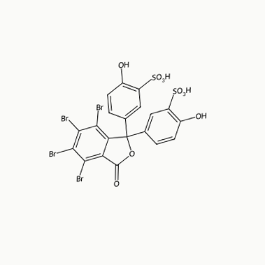 O=C1OC(c2ccc(O)c(S(=O)(=O)O)c2)(c2ccc(O)c(S(=O)(=O)O)c2)c2c(Br)c(Br)c(Br)c(Br)c21